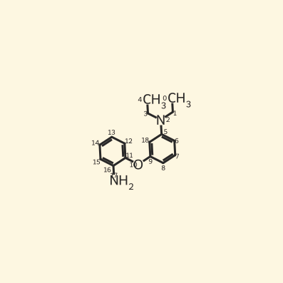 CCN(CC)c1cccc(Oc2ccccc2N)c1